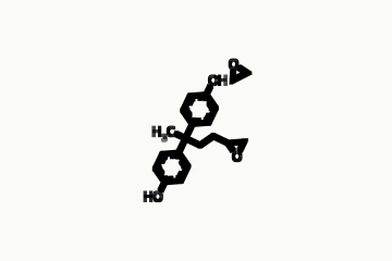 C1CO1.CC(CCC1CO1)(c1ccc(O)cc1)c1ccc(O)cc1